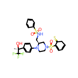 C[C@](O)(c1ccc(N2CCN(S(=O)(=O)C3=CC=CCC3=S)C[C@@H]2CNS(=O)(=O)c2ccccc2)cc1)C(F)(F)F